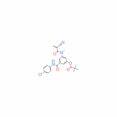 C=C(C#N)C(=O)N(C)c1cc(OC(=O)C(C)(C)C)cc(C(=O)Nc2ccc(Cl)cc2)c1